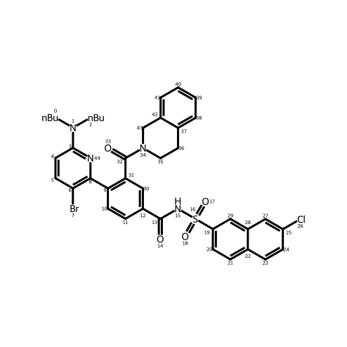 CCCCN(CCCC)c1ccc(Br)c(-c2ccc(C(=O)NS(=O)(=O)c3ccc4ccc(Cl)cc4c3)cc2C(=O)N2CCc3ccccc3C2)n1